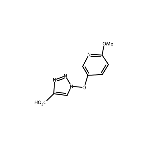 COc1ccc(On2cc(C(=O)O)nn2)cn1